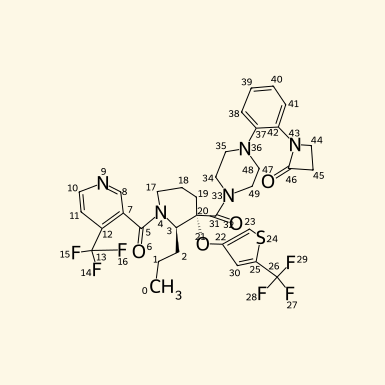 CCC[C@H]1N(C(=O)c2cnccc2C(F)(F)F)CCC[C@@]1(Oc1csc(C(F)(F)F)c1)C(=O)N1CCN(c2ccccc2N2CCC2=O)CC1